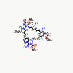 CC(C)(C)OC(=O)N=C(NCCCCCCCN(C(=O)O)C(=NC(=O)OC(C)(C)C)N(CCCOc1ccc(C(=N)NC(=O)OC(C)(C)C)nn1)C(=O)OC(C)(C)C)NC(=O)OC(C)(C)C